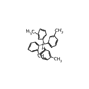 Cc1cccc([PH](c2cccc(C)c2)(c2cccc(C)c2)c2ccccc2C)c1